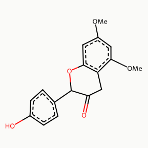 COc1cc(OC)c2c(c1)OC(c1ccc(O)cc1)C(=O)C2